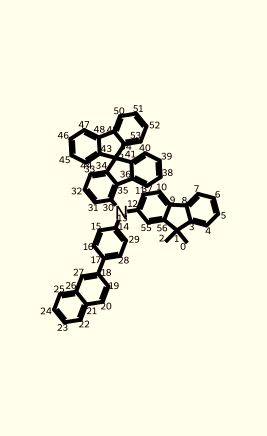 CC1(C)c2ccccc2-c2ccc(N(c3ccc(-c4ccc5ccccc5c4)cc3)c3cccc4c3-c3ccccc3C43c4ccccc4-c4ccccc43)cc21